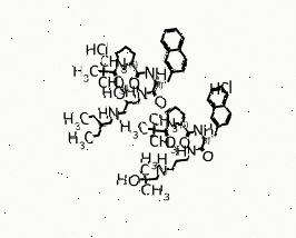 CC(C)(O)CNCCCNC(=O)[C@@H](Cc1ccc2ccccc2c1)NC(=O)[C@@H]1CCCN1C(=O)C(C)(C)C.CCC(CC)CNCC(O)CNC(=O)[C@@H](Cc1ccc2ccccc2c1)NC(=O)[C@@H]1CCCN1C(=O)C(C)(C)C.Cl.Cl